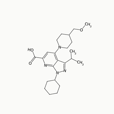 COCC1CCN(c2cc(C(=O)O)nc3c2c(C(C)C)nn3C2CCCCC2)CC1